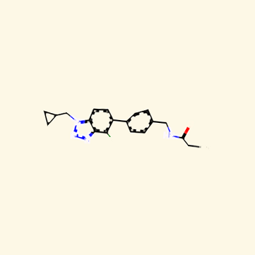 N#CCC(=O)NCc1ccc(-c2ccc3c(nnn3CC3CC3)c2Cl)cc1